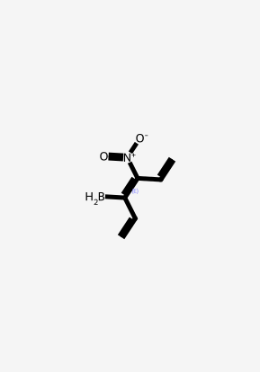 B/C(C=C)=C(/C=C)[N+](=O)[O-]